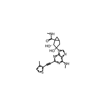 CNC(=O)C12CC1C[C@](O)(n1cnc3c(NC)nc(C#Cc4sccc4C)nc31)[C@@H]2O